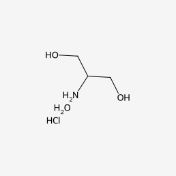 Cl.NC(CO)CO.O